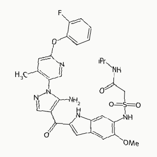 COc1cc2cc(C(=O)c3cnn(-c4cnc(Oc5ccccc5F)cc4C)c3N)[nH]c2cc1NS(=O)(=O)CC(=O)NC(C)C